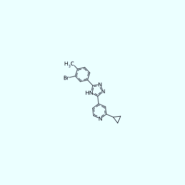 Cc1ccc(-c2nnc(-c3ccnc(C4CC4)c3)[nH]2)cc1Br